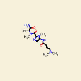 CC(C)[C@H](C(N)=O)N(C)C(=O)c1ncc(NC(=O)/C=C/CN(C)C)n1C